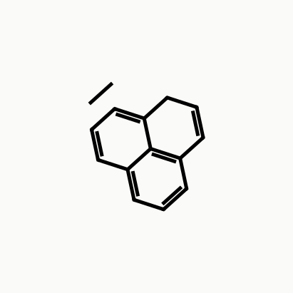 C1=Cc2cccc3cccc(c23)C1.CC